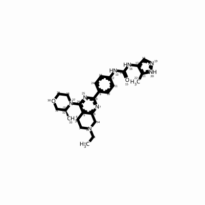 CCN1CCc2c(nc(-c3ccc(NC(=O)Nc4cn[nH]c4C)cc3)nc2N2CCOC[C@@H]2C)C1